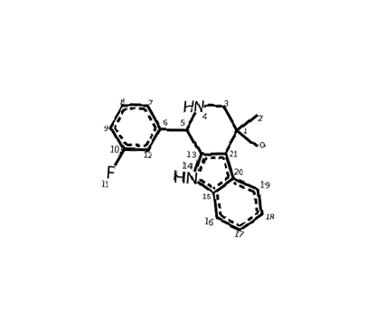 CC1(C)CNC(c2cccc(F)c2)c2[nH]c3ccccc3c21